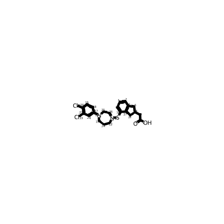 O=C(O)CC1Cc2cccc(SN3CCCN(c4ccc(Cl)c(Cl)c4)CC3)c2C1